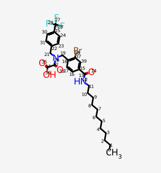 CCCCCCCCCCCCNC(=O)c1ccc(CN(Cc2ccc(C(F)(F)F)cc2)C(=O)C(=O)O)c(Br)c1